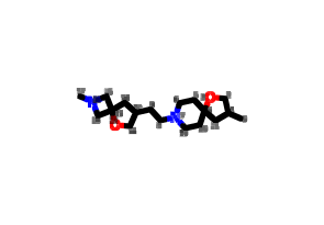 CC1COC2(CCN(CCC3COC4(C3)CN(C)C4)CC2)C1